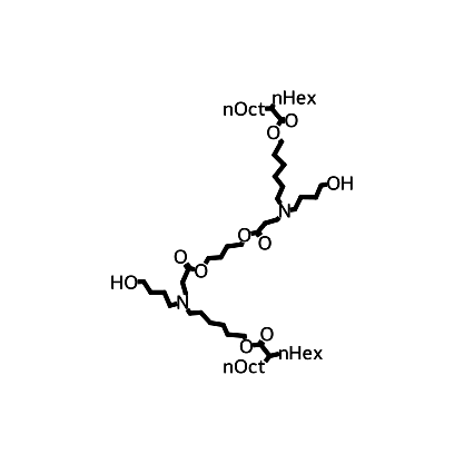 CCCCCCCCC(CCCCCC)C(=O)OCCCCCCN(CCCCO)CCC(=O)OCCCCOC(=O)CCN(CCCCO)CCCCCCOC(=O)C(CCCCCC)CCCCCCCC